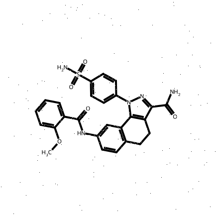 COc1ccccc1C(=O)Nc1ccc2c(c1)-c1c(c(C(N)=O)nn1-c1ccc(S(N)(=O)=O)cc1)CC2